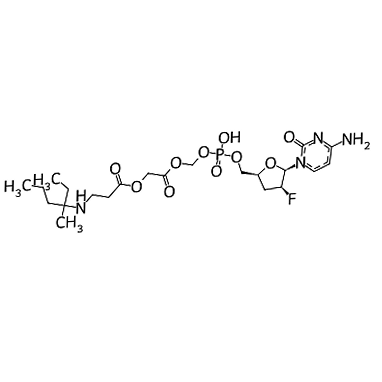 CCCC(C)(CC)NCCC(=O)OCC(=O)OCOP(=O)(O)OC[C@@H]1C[C@H](F)[C@H](n2ccc(N)nc2=O)O1